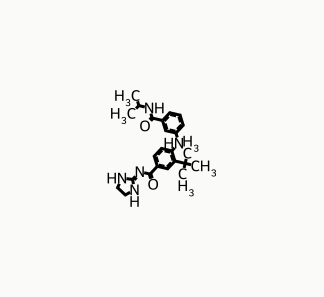 CC(C)NC(=O)c1cccc(Nc2ccc(C(=O)N=C3NCCN3)cc2C(C)(C)C)c1